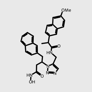 COc1ccc2cc(C(C)C(=O)NCc3cnnn3C(CC(=O)NO)Cc3ccc4ccccc4c3)ccc2c1